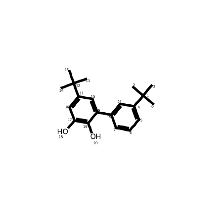 CC(C)(C)c1cccc(-c2cc(C(C)(C)C)cc(O)c2O)c1